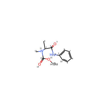 CC(C(=O)Nc1ccccc1)N(C)C(=O)OC(C)(C)C